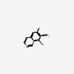 Nc1c(I)cc2ccncc2c1Br